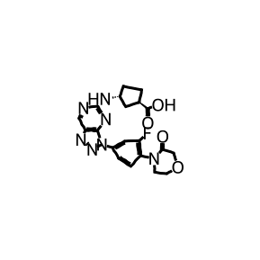 O=C(O)[C@@H]1CC[C@@H](Nc2ncc3nnn(-c4ccc(N5CCOCC5=O)c(F)c4)c3n2)C1